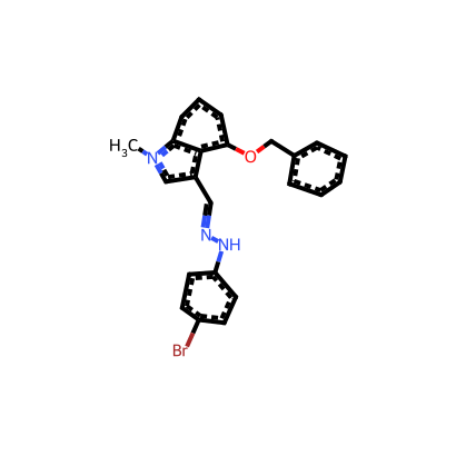 Cn1cc(C=NNc2ccc(Br)cc2)c2c(OCc3ccccc3)cccc21